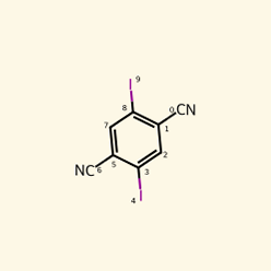 N#Cc1cc(I)c(C#N)cc1I